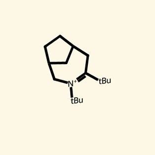 CC(C)(C)C1=[N+](C(C)(C)C)CC2CCC(C1)C2